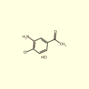 CC(=O)c1ccc(Cl)c(N)c1.Cl